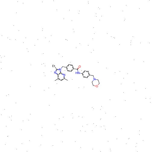 CCc1nc2c(C)cc(C)nc2n1Cc1ccc(C(=O)Nc2ccc(CN3CCOCC3)cc2)cc1